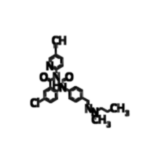 C#Cc1ccc(NC(=O)c2cc(Cl)ccc2N(C=O)c2ccc(C=NN(C)CCC)cc2)nc1